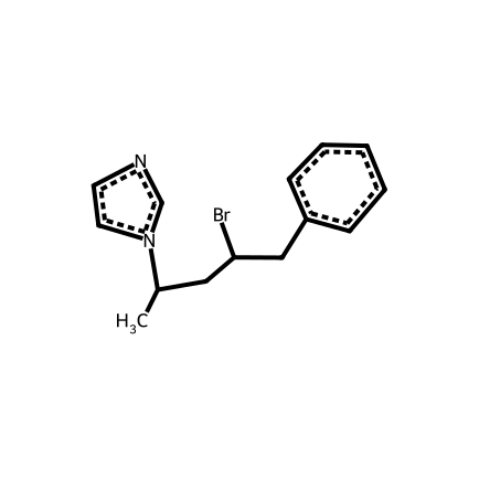 CC(CC(Br)Cc1ccccc1)n1ccnc1